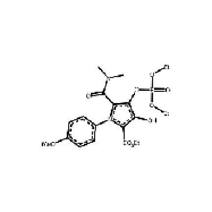 CCOC(=O)c1c(O)c(OP(=O)(OCC)OCC)c(C(=O)N(C)C)n1-c1ccc(OC)cc1